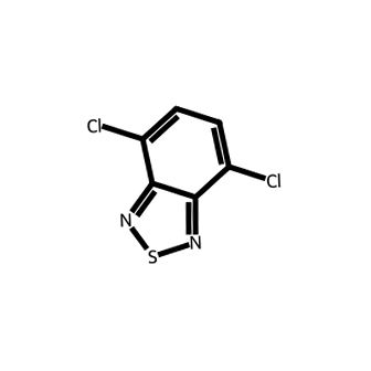 Clc1ccc(Cl)c2nsnc12